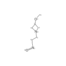 COC1CN(CCN=O)C1